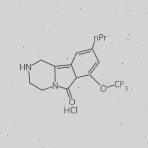 CCCC1=CC2=C3CNCCN3C(=O)C2C(OC(F)(F)F)=C1.Cl